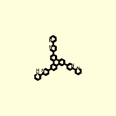 C1=CCNC(c2ccc(-c3ccc4c(c3)c3ccc(-c5ccc(-c6ccccn6)nc5)cc3c3ccc(-c5ccc(-c6ccccn6)nc5)cc43)cn2)=C1